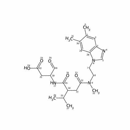 Cc1cc2ncn(CCN(C)C(=O)CC(C(=O)NC(C=O)CC(=O)O)C(C)C)c2cc1C